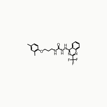 Cc1ccc(OCCCNC(=O)NNc2nc(C(F)(F)F)nc3ccccc23)c(C)c1